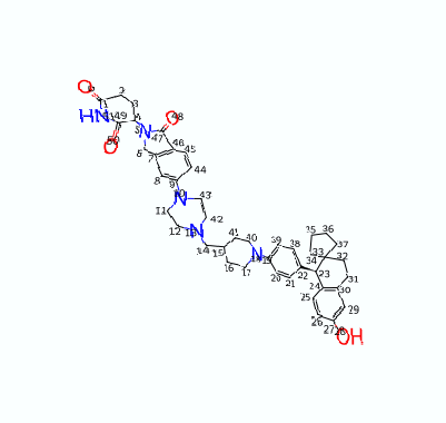 O=C1CC[C@@H](N2Cc3cc(N4CCN(CC5CCN(c6ccc([C@@H]7c8ccc(O)cc8CCC78CCCC8)cc6)CC5)CC4)ccc3C2=O)C(=O)N1